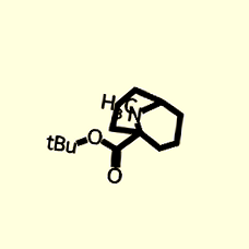 CN1C2CCCC1(C(=O)OC(C)(C)C)CCC2